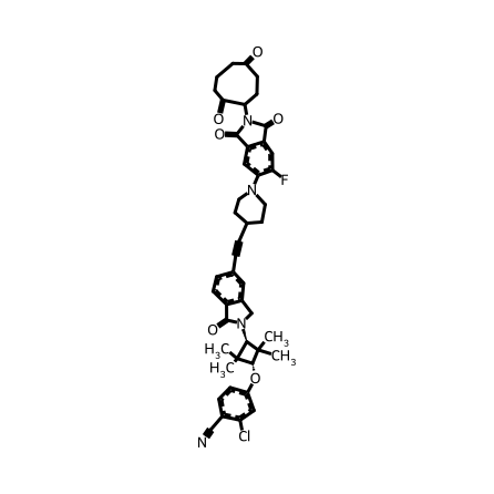 CC1(C)[C@H](Oc2ccc(C#N)c(Cl)c2)C(C)(C)[C@H]1N1Cc2cc(C#CC3CCN(c4cc5c(cc4F)C(=O)N(C4CCC(=O)CCCC4=O)C5=O)CC3)ccc2C1=O